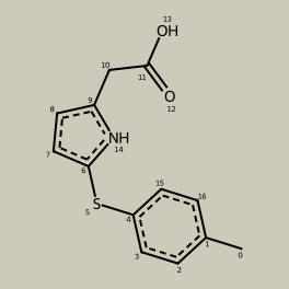 Cc1ccc(Sc2ccc(CC(=O)O)[nH]2)cc1